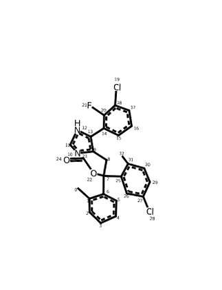 Cc1ccccc1C(Cc1nc[nH]c1-c1cccc(Cl)c1F)(OC=O)c1cc(Cl)ccc1C